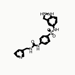 O=C(NCc1cccnc1)Nc1ccc(S(=O)(=O)Nc2ccc3c(c2)CNN3)cc1